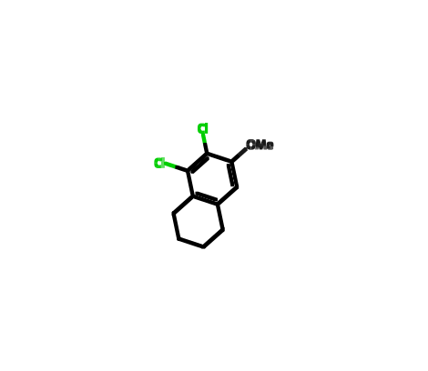 COc1cc2c(c(Cl)c1Cl)CCCC2